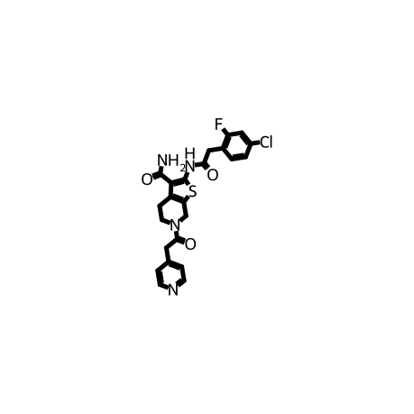 NC(=O)c1c(NC(=O)Cc2ccc(Cl)cc2F)sc2c1CCN(C(=O)Cc1ccncc1)C2